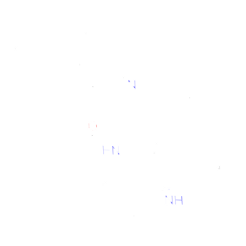 CCN(C(=O)c1ccccc1)c1cccc2c1NCCN2